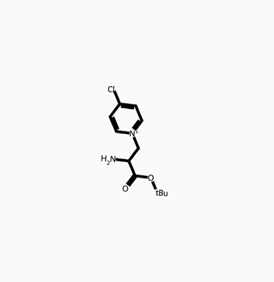 CC(C)(C)OC(=O)C(N)C[n+]1ccc(Cl)cc1